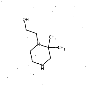 CC1(C)CNCCN1CCO